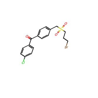 O=C(c1ccc(Cl)cc1)c1ccc(CS(=O)(=O)CCCBr)cc1